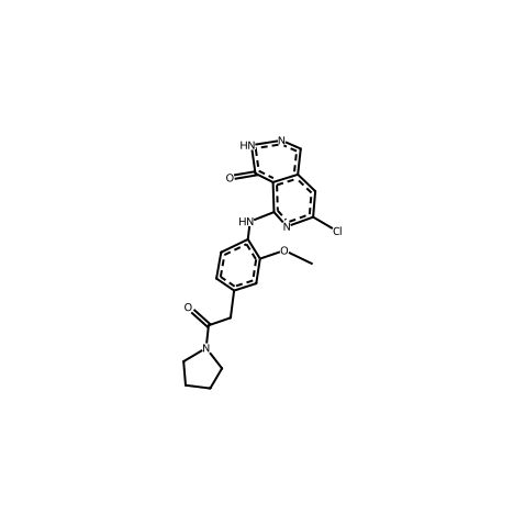 COc1cc(CC(=O)N2CCCC2)ccc1Nc1nc(Cl)cc2cn[nH]c(=O)c12